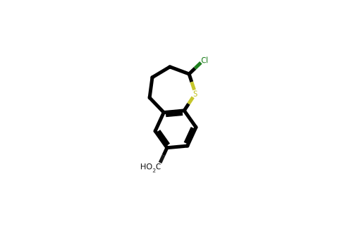 O=C(O)c1ccc2c(c1)CCCC(Cl)S2